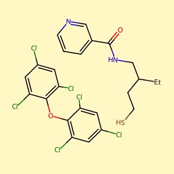 CCC(CCS)CNC(=O)c1cccnc1.Clc1cc(Cl)c(Oc2c(Cl)cc(Cl)cc2Cl)c(Cl)c1